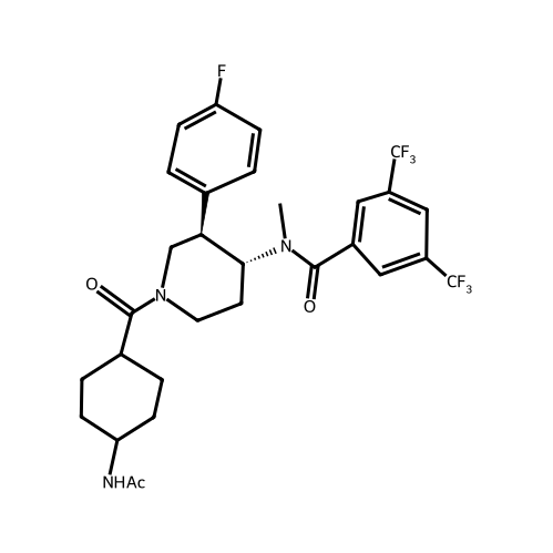 CC(=O)NC1CCC(C(=O)N2CC[C@@H](N(C)C(=O)c3cc(C(F)(F)F)cc(C(F)(F)F)c3)[C@H](c3ccc(F)cc3)C2)CC1